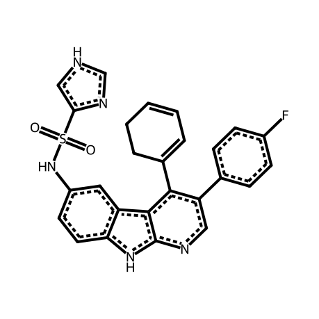 O=S(=O)(Nc1ccc2[nH]c3ncc(-c4ccc(F)cc4)c(C4=CC=CCC4)c3c2c1)c1c[nH]cn1